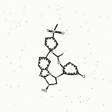 CS(=O)(=O)c1ccc(-c2ccc3nc4n(c3c2)[C@@H](c2cc(Cl)ccc2OC(F)F)C[C@H]4O)cc1